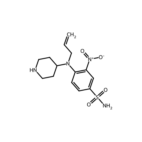 C=CCN(c1ccc(S(N)(=O)=O)cc1[N+](=O)[O-])C1CCNCC1